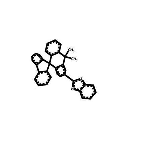 CC1(C)c2ccccc2C2(c3ccccc3-c3ccccc32)c2ccc(-c3nc4ccccc4s3)cc21